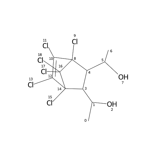 CC(O)C1C(C(C)O)C2(Cl)C(Cl)=C(Cl)C1(Cl)C2(Cl)Cl